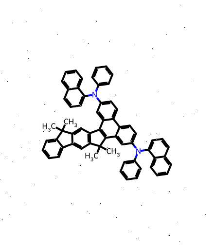 CC1(C)c2ccccc2-c2cc3c(cc21)-c1c(c2cc(N(c4ccccc4)c4cccc5ccccc45)ccc2c2ccc(N(c4ccccc4)c4cccc5ccccc45)cc12)C3(C)C